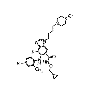 Cc1cc(Br)ccc1Nc1c(C(=O)NOCC2CC2)cc2c(ncn2CCCCN2CC[S+]([O-])CC2)c1F